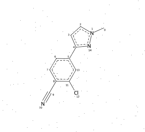 Cn1ccc(-c2ccc(C#N)c(Cl)c2)n1